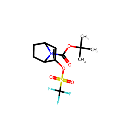 CC(C)(C)OC(=O)N1C2C=C(OS(=O)(=O)C(F)(F)F)C1CC2